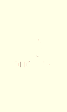 O=CCC(C1CC1)C1CC1